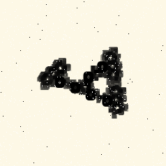 c1ccc2c(OCCCOc3cc(OCCCOc4c5ccccc5cc5ccccc45)cc(OCCCOc4c5ccccc5cc5ccccc45)c3)c3ccccc3cc2c1